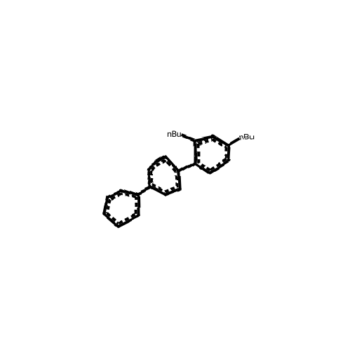 CCCCc1ccc(-c2ccc(-c3ccccc3)cc2)c(CCCC)c1